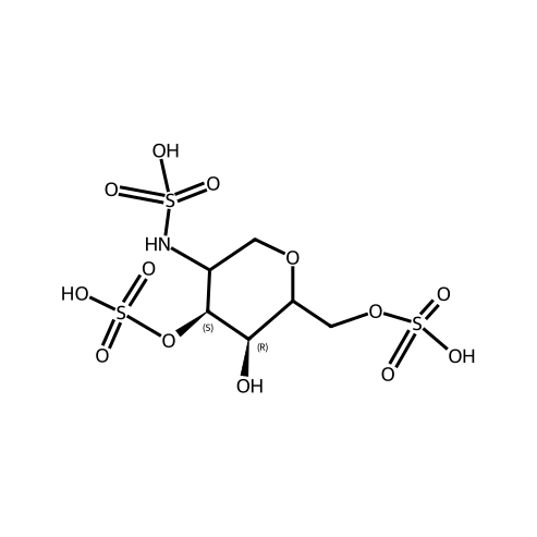 O=S(=O)(O)NC1COC(COS(=O)(=O)O)[C@@H](O)[C@H]1OS(=O)(=O)O